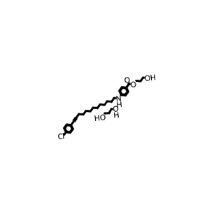 O=C(OCCCO)c1ccc(NCCCCCCCCCCCC#Cc2ccc(Cl)cc2)cc1.OCCCO